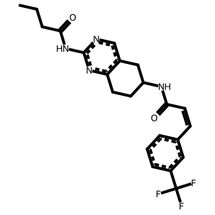 CCCC(=O)Nc1ncc2c(n1)CCC(NC(=O)/C=C\c1cccc(C(F)(F)F)c1)C2